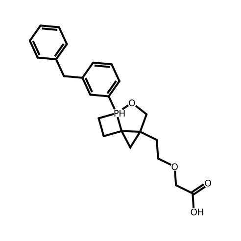 O=C(O)COCCC12CO[PH]3(c4cccc(Cc5ccccc5)c4)CCC13C2